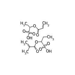 C=C(C)C(=O)OC(CC)S(=O)(=O)O.C=CC(=O)OC(C)S(=O)(=O)O